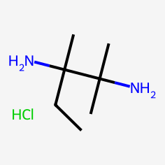 CCC(C)(N)C(C)(C)N.Cl